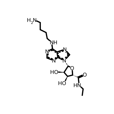 CCNC(=O)[C@H]1O[C@@H](n2cnc3c(NCCCCN)ncnc32)[C@H](O)[C@@H]1O